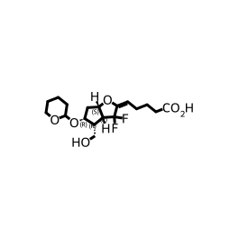 O=C(O)CCCC=C1O[C@H]2C[C@@H](OC3CCCCO3)[C@@H](CO)[C@H]2C1(F)F